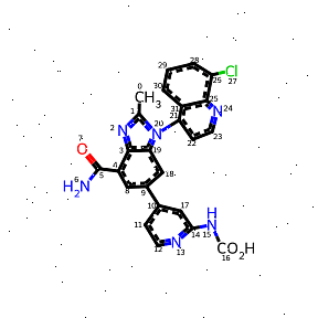 Cc1nc2c(C(N)=O)cc(-c3ccnc(NC(=O)O)c3)cc2n1-c1ccnc2c(Cl)cccc12